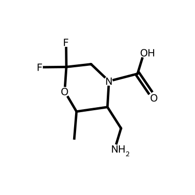 CC1OC(F)(F)CN(C(=O)O)C1CN